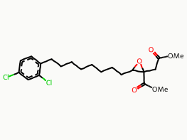 COC(=O)CC1(C(=O)OC)OC1CCCCCCCCc1ccc(Cl)cc1Cl